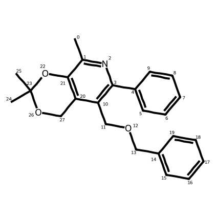 Cc1nc(-c2ccccc2)c(COCc2ccccc2)c2c1OC(C)(C)OC2